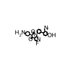 CN(C)Cc1cc(O)ccc1-c1cccc(N2C(=O)C(C3CCC(N)CC3)C(=O)c3cc(F)ncc32)c1